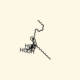 CCCCC/C=C\C/C=C\C/C=C\C/C=C\CCCCCC(=O)OC[C@H](COP(=O)(O)OC[C@@H](O)CO)OC(=O)CCCCCCCCCCCCCC